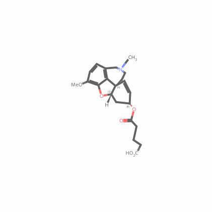 COc1ccc2c3c1O[C@H]1C[C@@H](OC(=O)CCCC(=O)O)C=C[C@@]31CCN(C)C2